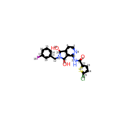 O=C(Nc1nccc2c1C(O)N(Cc1cccc(I)c1)C2O)c1ccc(Cl)s1